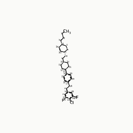 CCCC[C@H]1CC[C@H](CCC2CCC(c3ccc(CCc4cc(F)c(Cl)c(F)c4)cc3)CC2)CC1